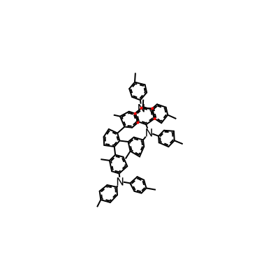 Cc1ccc(N(c2ccc(C)cc2)c2ccc(-c3cccc(-c4ccc(N(c5ccc(C)cc5)c5ccc(C)cc5)cc4C)c3-c3cc(N(c4ccc(C)cc4)c4ccc(C)cc4)ccc3C)c(C)c2)cc1